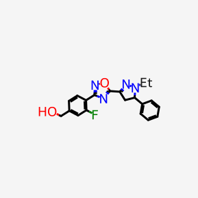 CCN1N=C(c2nc(-c3ccc(CO)cc3F)no2)CC1c1ccccc1